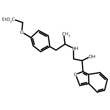 CCOC(=O)COc1ccc(CC(C)NCC(O)c2occ3ccccc23)cc1